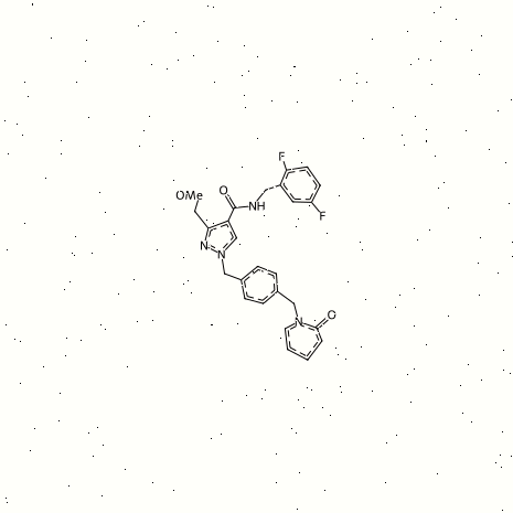 COCc1nn(Cc2ccc(Cn3ccccc3=O)cc2)cc1C(=O)NCc1cc(F)ccc1F